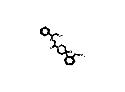 CCc1ccccc1C1(C)CCN(C(=O)CNC(CO)c2ccccc2)CC1